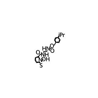 CC(C)c1ccc(COC(=O)NCCNC(=O)c2cccc(=S)n2O)cc1